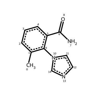 Cc1cccc(C(N)=O)c1-n1ccnc1